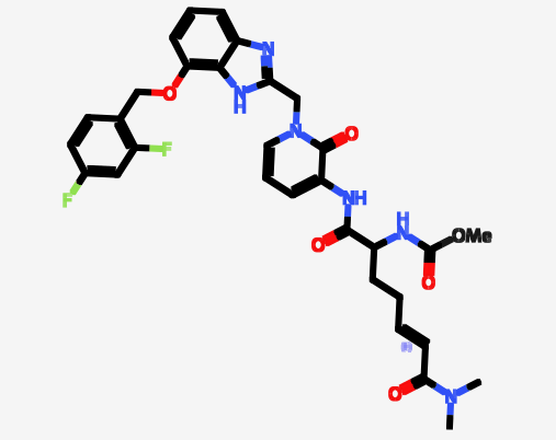 COC(=O)NC(CC/C=C/C(=O)N(C)C)C(=O)Nc1cccn(Cc2nc3cccc(OCc4ccc(F)cc4F)c3[nH]2)c1=O